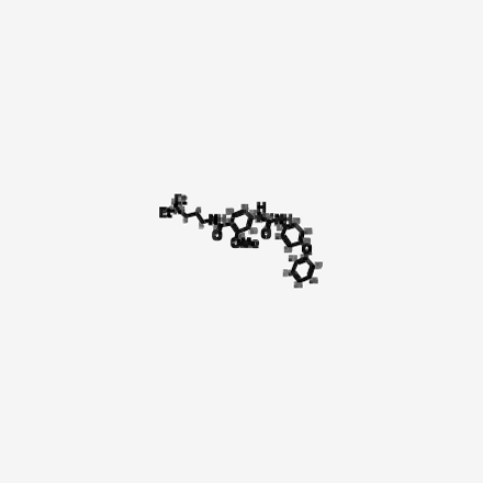 CCN(CC)CCCNC(=O)c1ccc(NC(=O)Nc2ccc(Oc3ccccc3)cc2)cc1OC